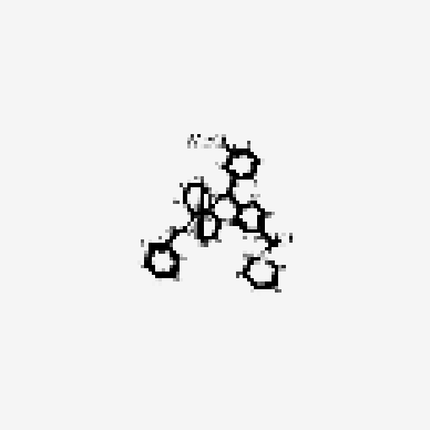 COc1cccc(C(C2C=CC(C(=O)N3CCCCC3)=CC2)N2C3CCC4C2CCC3N4Cc2ccccc2)c1